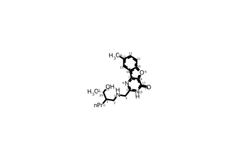 CCCC(CNCc1nc2c(oc3ccc(C)cc32)c(=O)[nH]1)[C@H](C)O